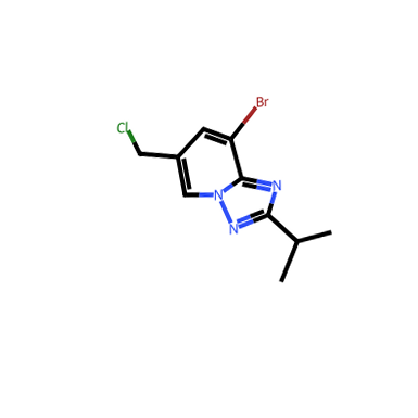 CC(C)c1nc2c(Br)cc(CCl)cn2n1